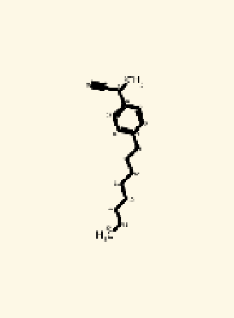 [C]#CC(C)c1ccc(CCCCCCCC)cc1